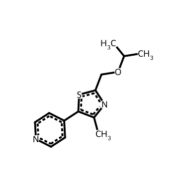 Cc1nc(COC(C)C)sc1-c1ccncc1